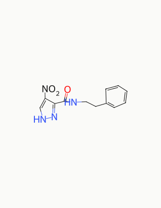 O=C(NCCc1ccccc1)c1n[nH]cc1[N+](=O)[O-]